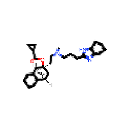 CN(CCCc1nc2ccccc2[nH]1)CC[C@]1(OC(=O)C2CC2)C[C@H]2CC[C@@H]1c1ccccc12